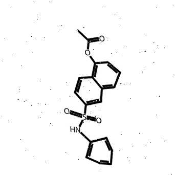 CC(=O)Oc1cccc2cc(S(=O)(=O)Nc3ccccc3)ccc12